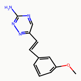 COc1cccc(C=Cc2cnc(N)nn2)c1